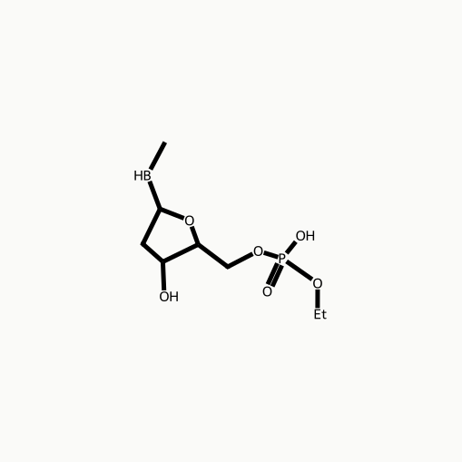 CBC1CC(O)C(COP(=O)(O)OCC)O1